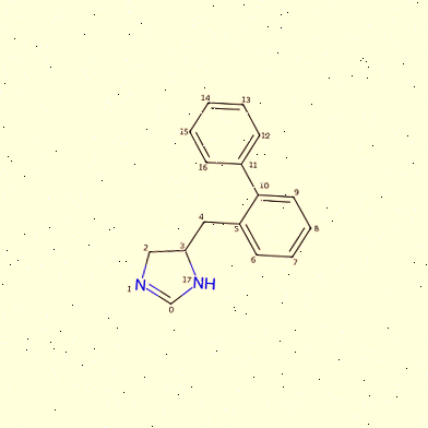 C1=NCC(Cc2ccccc2-c2ccccc2)N1